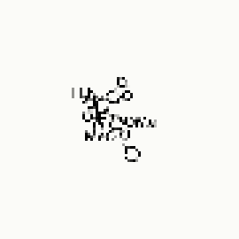 COc1cc([C@@H]2c3cc4c(cc3[C@@H](N)[C@H]3COC(=O)[C@H]23)OCO4)cc(OC)c1OCc1ccccc1